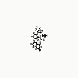 O=Cc1nc(C2CN(CC(c3ccccc3)c3cccc4cc(F)ccc34)CCN2)cs1